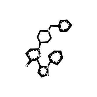 O=c1ccn(C2CCN(Cc3ccccc3)CC2)nc1-c1ccnn1-c1ccccc1